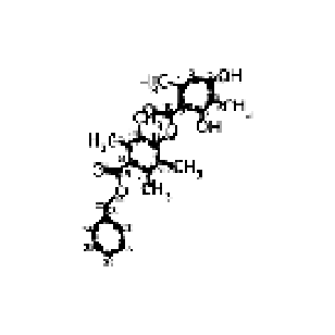 Cc1cc(O)c(C)c(O)c1C(=O)Oc1c(C)c(C)c(C(=O)OCc2ccccc2)c(C)c1C